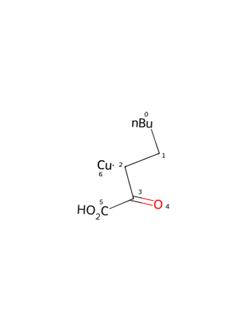 CCCCCCC(=O)C(=O)O.[Cu]